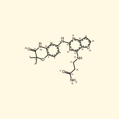 CC1(C)Oc2ccc(Nc3nc(NCCC(N)=O)c4occc4n3)cc2NC1=O